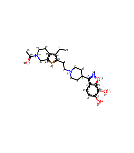 CCc1c(CCN2CCC(c3noc4c(O)c(O)ccc34)CC2)sc2c1CCN(C(C)=O)C2